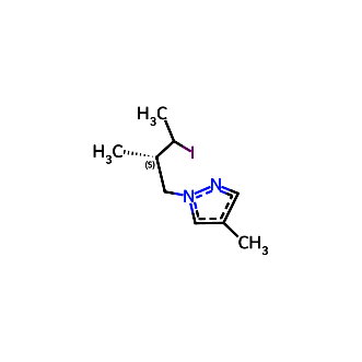 Cc1cnn(C[C@H](C)C(C)I)c1